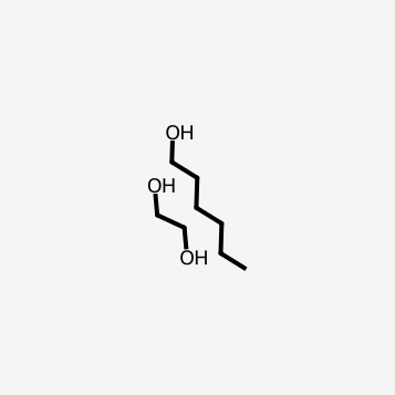 CCCCCCO.OCCO